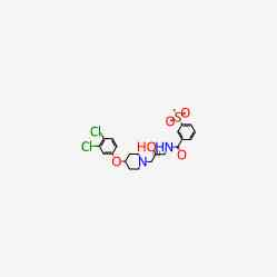 CS(=O)(=O)c1cccc(C(=O)NC[C@@H](O)CN2CCC(Oc3ccc(Cl)c(Cl)c3)CC2)c1